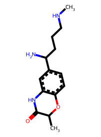 CNCCCC(N)c1ccc2c(c1)NC(=O)C(C)O2